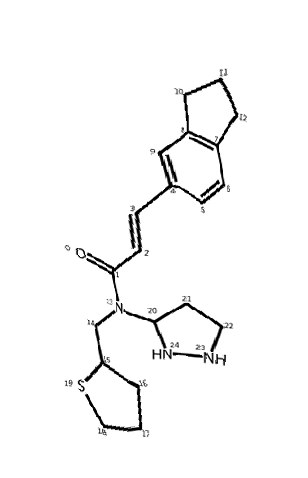 O=C(/C=C/c1ccc2c(c1)CCC2)N(CC1CCCS1)C1CCNN1